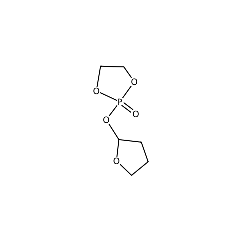 O=P1(OC2CCCO2)OCCO1